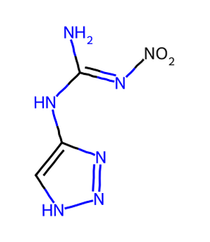 NC(=N[N+](=O)[O-])Nc1c[nH]nn1